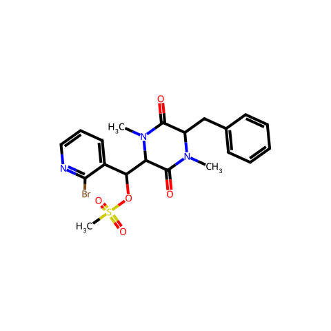 CN1C(=O)C(C(OS(C)(=O)=O)c2cccnc2Br)N(C)C(=O)C1Cc1ccccc1